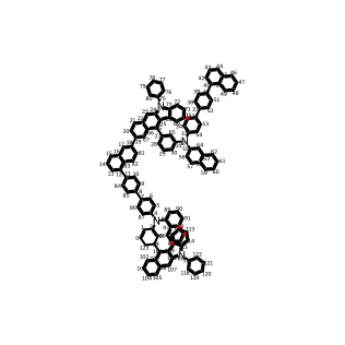 C1=CC(N(c2ccc(-c3ccc(-c4cccc5cc(-c6ccc7cc8c(c(-c9cccc(N(c%10ccc(-c%11ccc(-c%12cccc%13ccccc%12%13)cc%11)cc%10)c%10ccc%11ccccc%11c%10)c9)c7c6)c6ccccc6n8-c6ccccc6)ccc45)cc3)cc2)c2cccc3ccccc23)=CC(c2c3ccccc3cc3c2c2ccccc2n3-c2ccccc2)C1